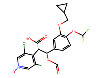 O=CO[C@H](c1ccc(OC(F)F)c(OCC2CC2)c1)[C@@H](C(=O)O)c1c(Cl)c[n+]([O-])cc1Cl